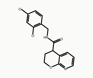 O=C(NCc1ccc(Cl)cc1Cl)C1CCOc2ncccc21